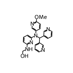 COc1ccc(N(c2cccc(NCO)n2)C(c2cccnc2)c2cccnc2)cn1